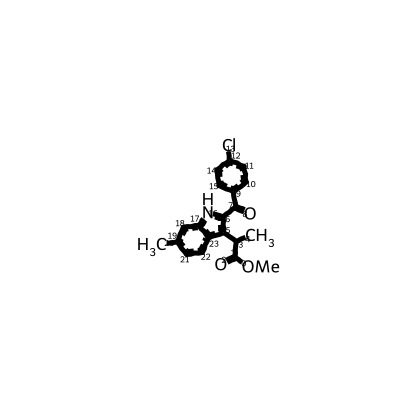 COC(=O)C(C)c1c(C(=O)c2ccc(Cl)cc2)[nH]c2cc(C)ccc12